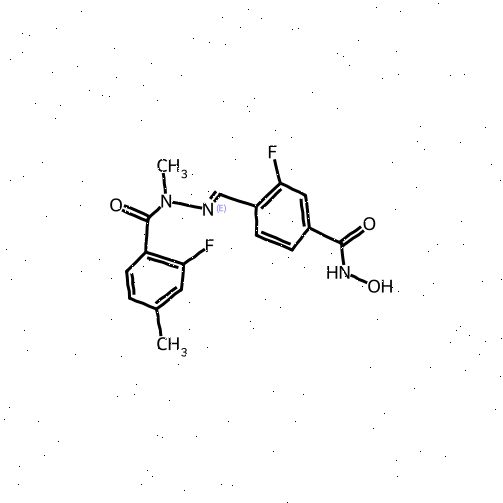 Cc1ccc(C(=O)N(C)/N=C/c2ccc(C(=O)NO)cc2F)c(F)c1